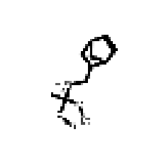 CCOC(C)(OCC)[SiH2]CC1CC2C=CC1C2